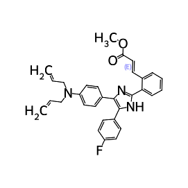 C=CCN(CC=C)c1ccc(-c2nc(-c3ccccc3/C=C/C(=O)OC)[nH]c2-c2ccc(F)cc2)cc1